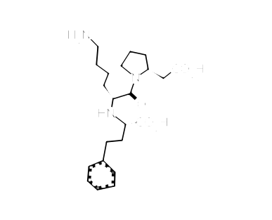 NCCCC[C@H](N[C@@H](CCc1ccccc1)C(=O)O)C(=O)N1CCC[C@H]1CC(=O)O